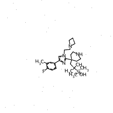 Cc1cc(-c2cn(CCN3CCC3)c(C3(CC(C)(C)[Si](C)(C)O)CCNCC3)n2)ccc1F